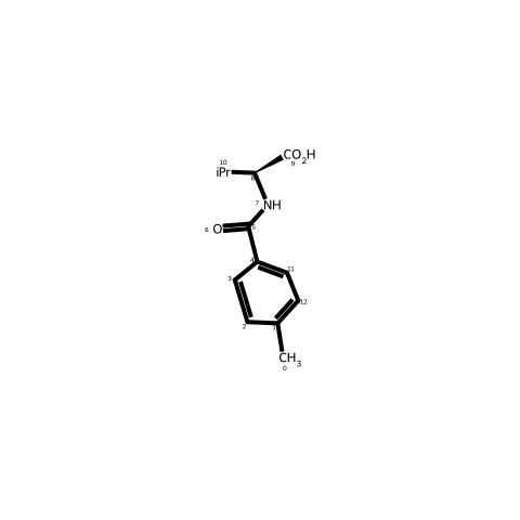 Cc1ccc(C(=O)N[C@H](C(=O)O)C(C)C)cc1